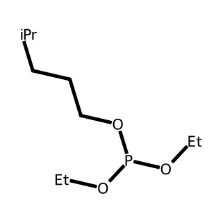 CCOP(OCC)OCCCC(C)C